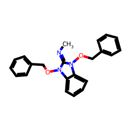 CN=c1n(OCc2ccccc2)c2ccccc2n1OCc1ccccc1